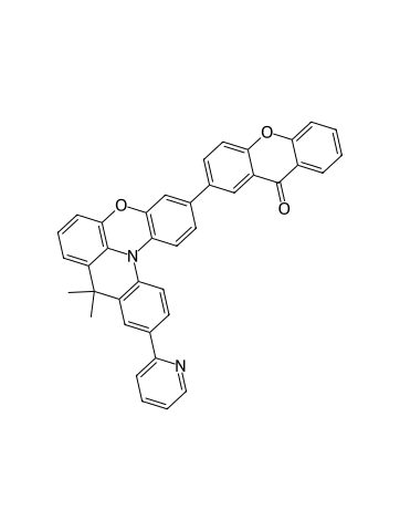 CC1(C)c2cc(-c3ccccn3)ccc2N2c3ccc(-c4ccc5oc6ccccc6c(=O)c5c4)cc3Oc3cccc1c32